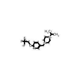 CC(C)N1CCN(Cc2ccc(OCC(F)(F)F)nc2)CC1